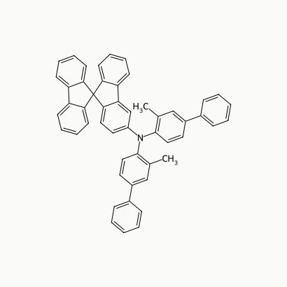 Cc1cc(-c2ccccc2)ccc1N(c1ccc2c(c1)-c1ccccc1C21c2ccccc2-c2ccccc21)c1ccc(-c2ccccc2)cc1C